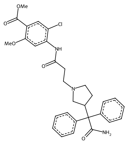 COC(=O)c1cc(Cl)c(NC(=O)CCN2CCC(C(C(N)=O)(c3ccccc3)c3ccccc3)C2)cc1OC